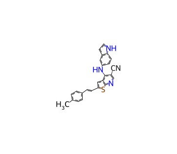 Cc1ccc(C=Cc2cc3c(Nc4ccc5[nH]ccc5c4)c(C#N)cnc3s2)cc1